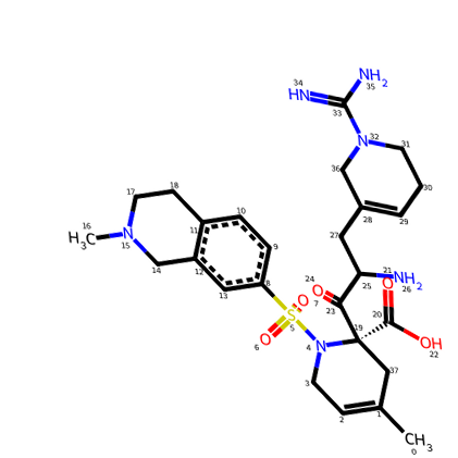 CC1=CCN(S(=O)(=O)c2ccc3c(c2)CN(C)CC3)[C@@](C(=O)O)(C(=O)C(N)CC2=CCCN(C(=N)N)C2)C1